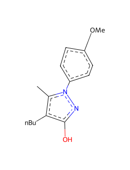 CCCCc1c(O)nn(-c2ccc(OC)cc2)c1C